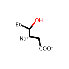 CCC(O)CCC(=O)[O-].[Na+]